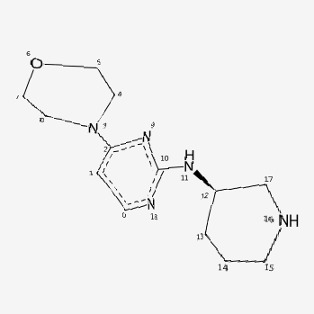 c1cc(N2CCOCC2)nc(N[C@@H]2CCCNC2)n1